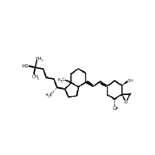 C[C@H](CCCC(C)(C)O)C1CCC2/C(=C/C=C3C[C@@H](O)C4(CO4)[C@H](O)C3)CCCC21C